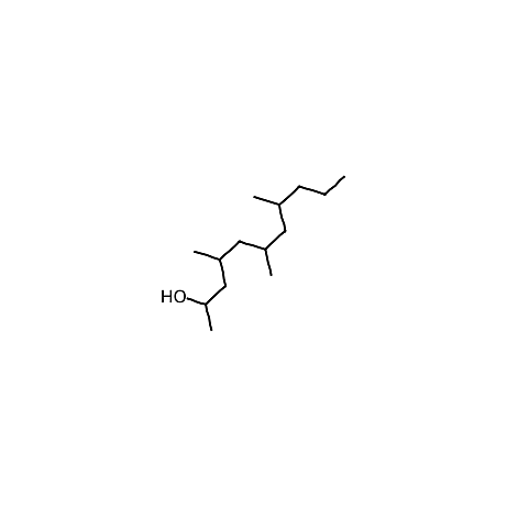 CCCC(C)CC(C)CC(C)CC(C)O